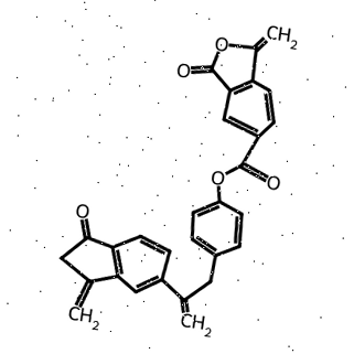 C=C(Cc1ccc(OC(=O)c2ccc3c(c2)C(=O)OC3=C)cc1)c1ccc2c(c1)C(=C)CC2=O